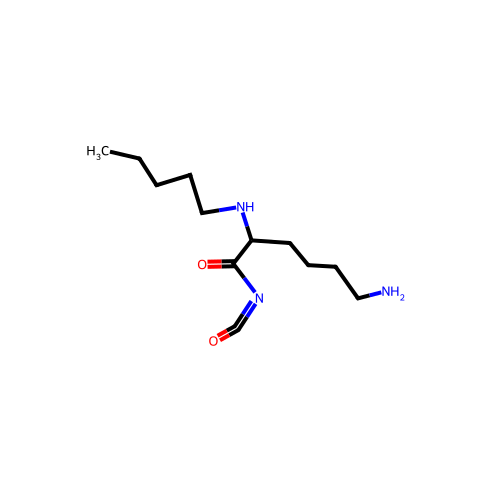 CCCCCNC(CCCCN)C(=O)N=C=O